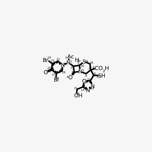 CC(=O)N(C1C(=O)N2CC(C(=O)O)(C(S)c3nnc(CO)o3)CS[C@H]12)n1cc(Br)c(=O)c(Br)c1